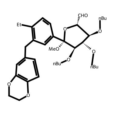 CCCCO[C@H]1[C@H](OCCCC)[C@@H](C=O)O[C@](OC)(c2ccc(CC)c(Cc3ccc4c(c3)OCCO4)c2)[C@@H]1OCCCC